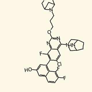 Oc1cc(-c2c(Cl)cc3c(N4CC5CCC(C4)N5)nc(OCCCN4C5COCC4C5)nc3c2F)c2c(F)c(F)ccc2c1